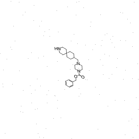 O=C(OCc1ccccc1)N1CCN(CC2CCC3(CCNCC3)CC2)CC1